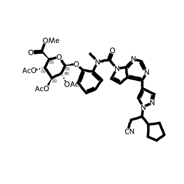 COC(=O)[C@H]1O[C@@H](Oc2ccccc2N(C)C(=O)n2ccc3c(-c4cnn(C(CC#N)C5CCCC5)c4)ncnc32)[C@H](OC(C)=O)[C@@H](OC(C)=O)[C@@H]1OC(C)=O